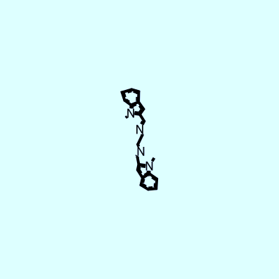 Cn1c(/C=N/CC/N=C/c2cc3ccccc3n2C)cc2ccccc21